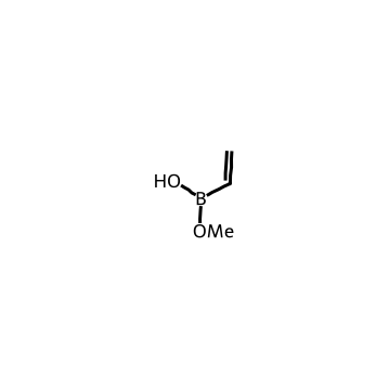 C=CB(O)OC